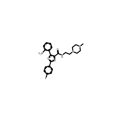 CN1CCN(CCNC(=O)c2nc(-c3ccc(F)cc3)oc2-c2ccccc2[N+](=O)[O-])CC1